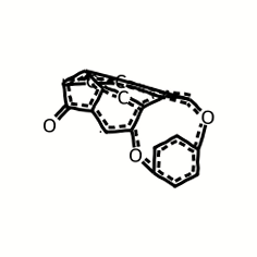 O=c1c2[c]c3oc4ccc(cc4)oc4c5ccc1c4c2[c]c35